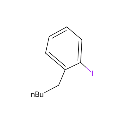 CCCCCc1ccccc1I